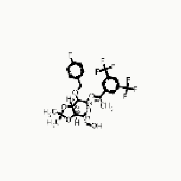 C[C@@H](O[C@H]1O[C@H](CO)[C@@H]2OC(C)(C)O[C@@H]2[C@H]1OCc1ccc(F)cc1)c1cc(C(F)(F)F)cc(C(F)(F)F)c1